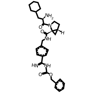 N=C(NC(=O)OCc1ccccc1)c1ccc(CNC(=O)[C@]23C[C@H]2CCN3C(=O)[C@H](N)CC2CCCCC2)cc1